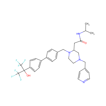 CC(C)NC(=O)CC1CN(Cc2ccncc2)CCN1Cc1ccc(-c2ccc(C(O)(C(F)(F)F)C(F)(F)F)cc2)cc1